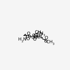 COC(=O)CCNC(=O)[C@@H]1OP(=O)(OCOC(=O)C2(C(N)=O)CC2)OCC1(C)C